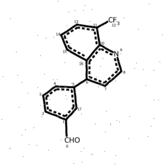 O=Cc1cccc(-c2ccnc3c(C(F)(F)F)cccc23)c1